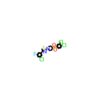 O=S(=O)(c1ccc(Cl)c(Cl)c1)C1CCN(c2nc(-c3cc(F)cc(Cl)c3)cs2)CC1